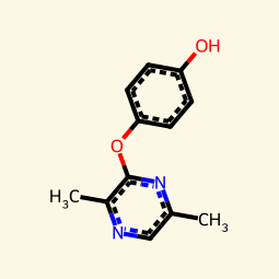 Cc1cnc(C)c(Oc2ccc(O)cc2)n1